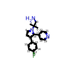 CC(C)(CN)n1ccc(-c2ccc(F)cc2)c1-c1ccncc1